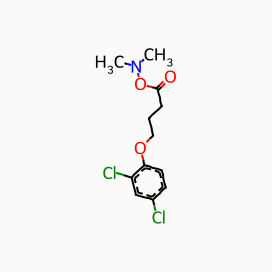 CN(C)OC(=O)CCCOc1ccc(Cl)cc1Cl